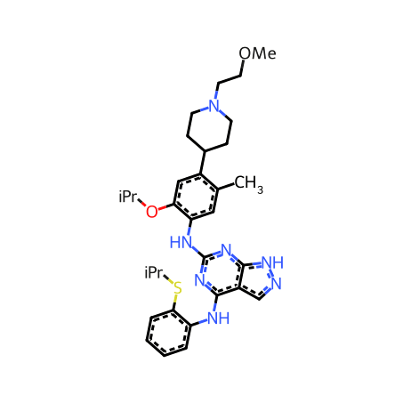 COCCN1CCC(c2cc(OC(C)C)c(Nc3nc(Nc4ccccc4SC(C)C)c4cn[nH]c4n3)cc2C)CC1